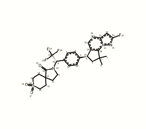 CC1(C)C[C@@H](c2ccc([C@H](N3CCC4(CCS(=O)(=O)CC4)C3=O)C(F)(F)F)cc2)c2cnc3cc(F)nn3c21